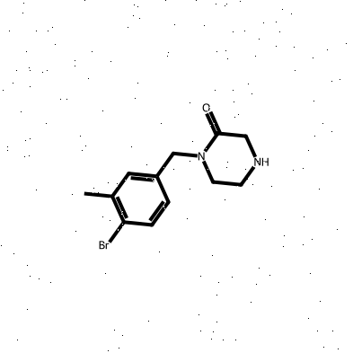 Cc1cc(CN2CCNCC2=O)ccc1Br